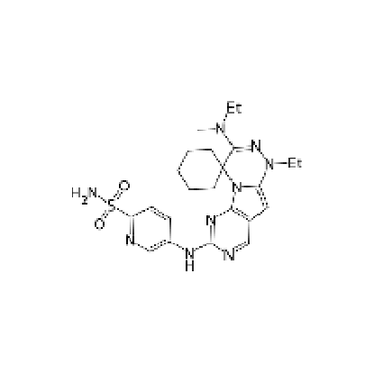 CCN(C)C1=NN(CC)c2cc3cnc(Nc4ccc(S(N)(=O)=O)nc4)nc3n2C12CCCCC2